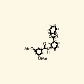 COc1cc(OC)cc(C(=O)Nc2cccc(-c3nc4cnccc4o3)c2)c1